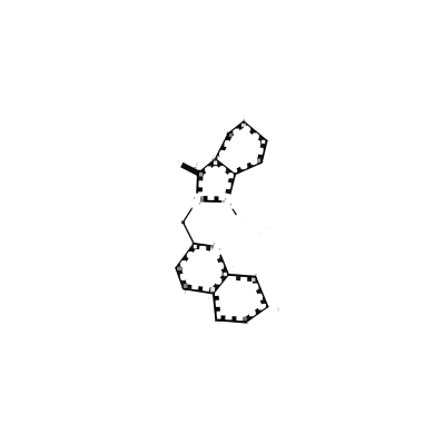 CCOC(=O)n1c2ccccc2c(=O)n1Cc1ccc2ccccc2n1